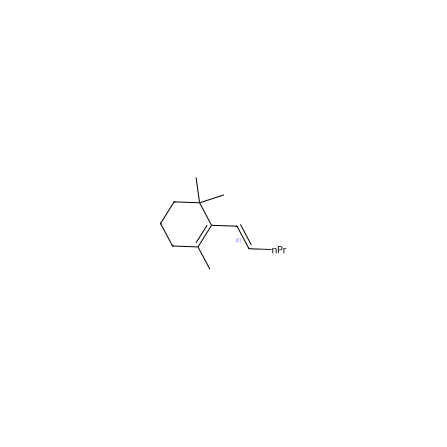 CCC/C=C/C1=C(C)CCCC1(C)C